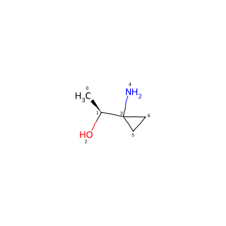 C[C@H](O)C1(N)CC1